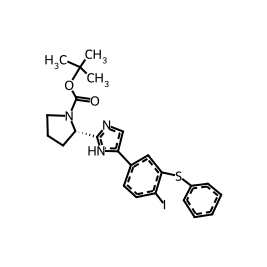 CC(C)(C)OC(=O)N1CCC[C@H]1c1ncc(-c2ccc(I)c(Sc3ccccc3)c2)[nH]1